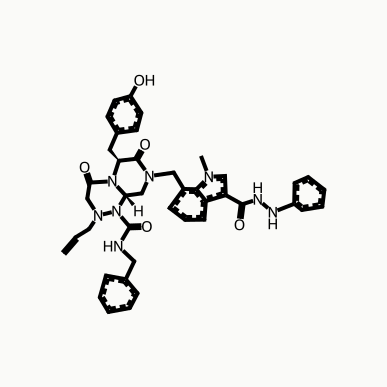 C=CCN1CC(=O)N2[C@@H](Cc3ccc(O)cc3)C(=O)N(Cc3cccc4c(C(=O)NNc5ccccc5)cn(C)c34)C[C@@H]2N1C(=O)NCc1ccccc1